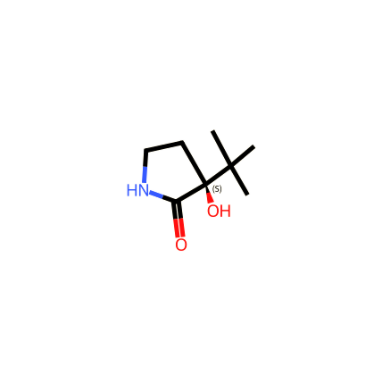 CC(C)(C)[C@@]1(O)CCNC1=O